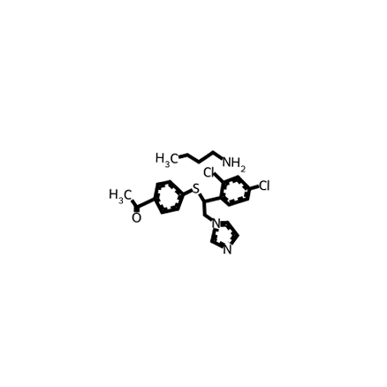 CC(=O)c1ccc(SC(Cn2ccnc2)c2ccc(Cl)cc2Cl)cc1.CCCCN